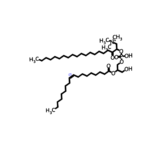 CCCCCCCC/C=C\CCCCCCCC(=O)OC(CO)COP(=O)(O)OC(C[N+](C)(C)C)C(=O)CCCCCCCCCCCCCCCCC